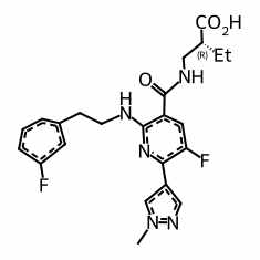 CC[C@H](CNC(=O)c1cc(F)c(-c2cnn(C)c2)nc1NCCc1cccc(F)c1)C(=O)O